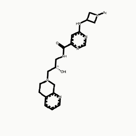 CC(=O)N1CC(Nc2cc(C(=O)NC[C@H](O)CN3CCc4cccnc4C3)ncn2)C1